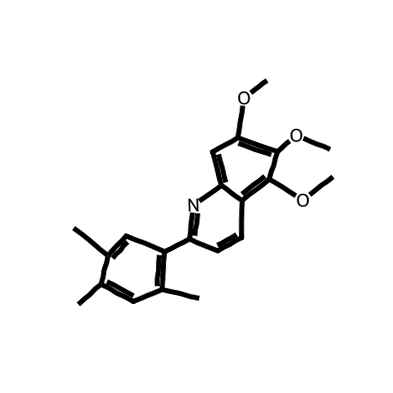 COc1cc2nc(-c3cc(C)c(C)cc3C)ccc2c(OC)c1OC